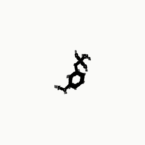 CS(=O)(=O)Cc1cccc(OF)c1